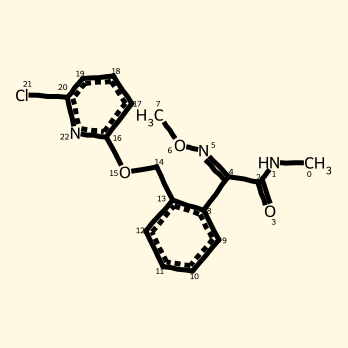 CNC(=O)/C(=N/OC)c1ccccc1COc1cccc(Cl)n1